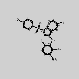 Cc1ccc(S(=O)(=O)n2cc(Oc3c(F)ccc(N)c3F)c3cc(Br)cnc32)cc1